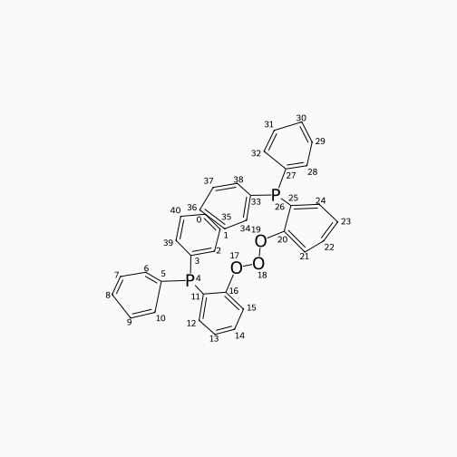 c1ccc(P(c2ccccc2)c2ccccc2OOOc2ccccc2P(c2ccccc2)c2ccccc2)cc1